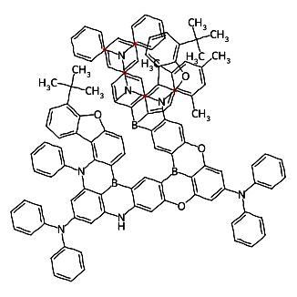 Cc1cc(C)c(N2c3cc4c(cc3B3c5ccc6oc7c(C(C)(C)C)cccc7c6c5N(c5ccccc5)c5cc(N(c6ccccc6)c6ccccc6)cc2c53)B2c3cc5c(cc3Oc3cc(N(c6ccccc6)c6ccccc6)cc(c32)O4)Nc2cc(N(c3ccccc3)c3ccccc3)cc3c2B5c2ccc4oc5c(C(C)(C)C)cccc5c4c2N3c2ccccc2)c(C)c1